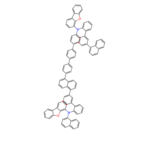 c1cc(-c2ccccc2N(c2ccc(-c3ccc(-c4ccc(-c5cccc6c(-c7cccc(-c8ccccc8N(c8cccc9ccccc89)c8cccc9c8oc8ccccc89)c7)cccc56)cc4)cc3)cc2)c2cccc3c2oc2ccccc23)cc(-c2cccc3ccccc23)c1